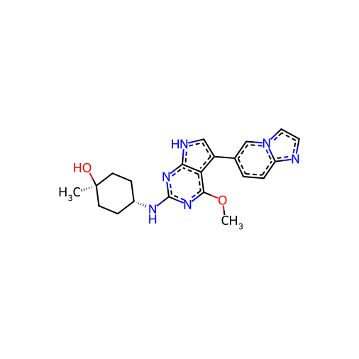 COc1nc(N[C@H]2CC[C@](C)(O)CC2)nc2[nH]cc(-c3ccc4nccn4c3)c12